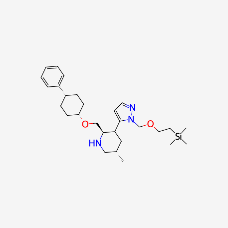 C[C@@H]1CN[C@@H](CO[C@H]2CC[C@@H](c3ccccc3)CC2)C(c2ccnn2COCC[Si](C)(C)C)C1